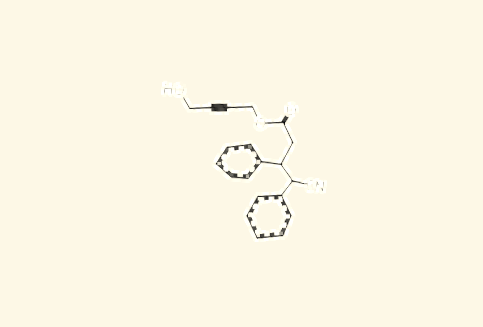 N#CC(c1ccccc1)C(CC(=O)OCC#CCO)c1ccccc1